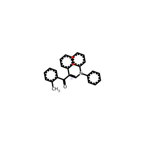 Cc1ccccc1C(=O)/C(=C/N(c1ccccc1)c1ccccc1)c1ccccc1